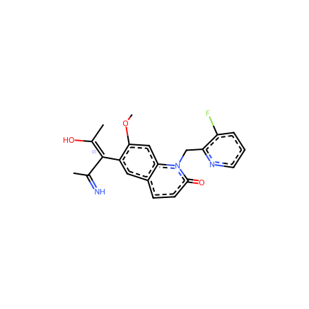 COc1cc2c(ccc(=O)n2Cc2ncccc2F)cc1/C(C(C)=N)=C(\C)O